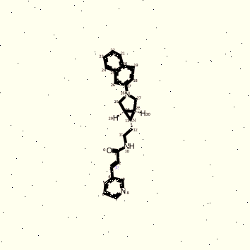 O=C(/C=C/c1cccnc1)NCC[C@@H]1[C@H]2CN(c3ccc4ccccc4c3)C[C@@H]12